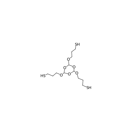 SCCCOC1OC(OCCCS)OC(OCCCS)O1